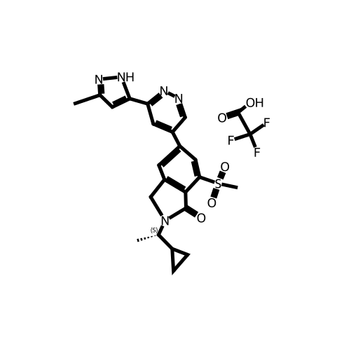 Cc1cc(-c2cc(-c3cc4c(c(S(C)(=O)=O)c3)C(=O)N([C@@H](C)C3CC3)C4)cnn2)[nH]n1.O=C(O)C(F)(F)F